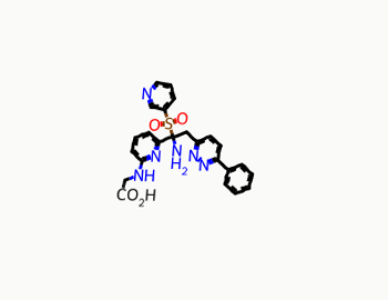 NC(Cc1ccc(-c2ccccc2)nn1)(c1cccc(NCC(=O)O)n1)S(=O)(=O)c1cccnc1